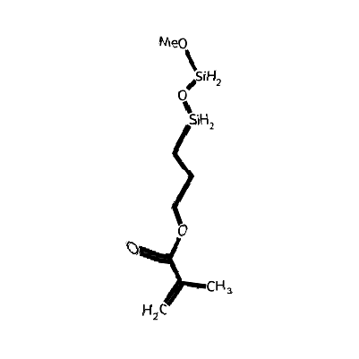 C=C(C)C(=O)OCCC[SiH2]O[SiH2]OC